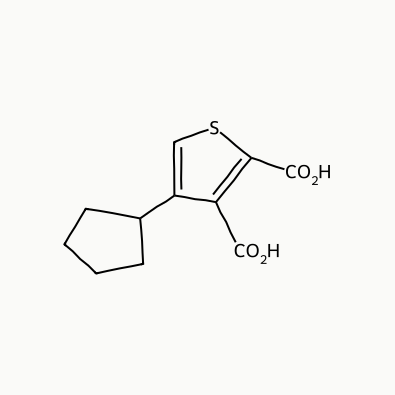 O=C(O)c1scc(C2CCCC2)c1C(=O)O